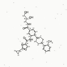 Cc1ccccc1N1CCN(c2ccc(C(=O)NC[C@@H](O)CO)cc2NC(=O)c2coc(C3CC3)n2)CC1